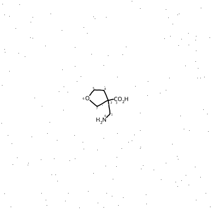 NCC1(C(=O)O)CCOC1